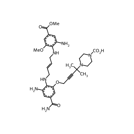 COC(=O)c1cc(N)c(NCC=CCNc2c(N)cc(C(N)=O)cc2OCC#CC(C)(C)N2CCN(C(=O)O)CC2)c(OC)c1